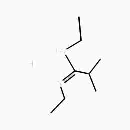 CC/N=C(/NCC)C(C)C.Cl.Cl